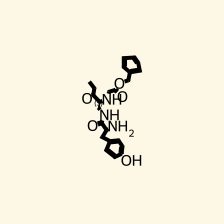 CCC(=O)[C@H](CNC(=O)C(N)Cc1ccc(O)cc1)NCC(=O)OCc1ccccc1